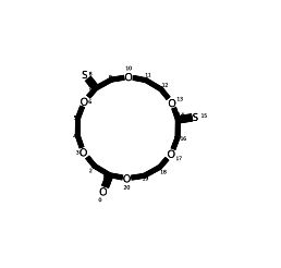 O=C1COCCOC(=S)COCCOC(=S)COCCO1